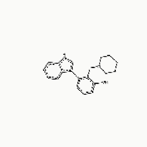 Oc1cccc(-c2c[nH]c3ccccc23)c1CN1CCCCC1